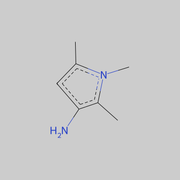 Cc1cc(N)c(C)n1C